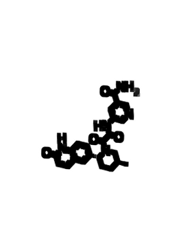 C[C@H]1CC[C@H](c2ccc3[nH]c(=O)ccc3c2)N(C(=O)C(=O)Nc2cncc(C(N)=O)c2)C1